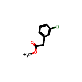 [CH2]OC(=O)Cc1cccc(Cl)c1